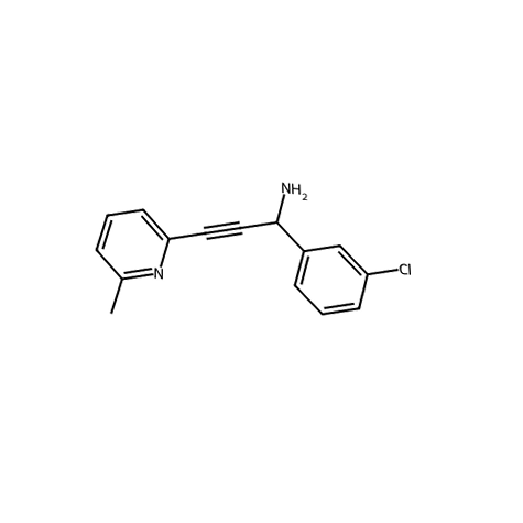 Cc1cccc(C#CC(N)c2cccc(Cl)c2)n1